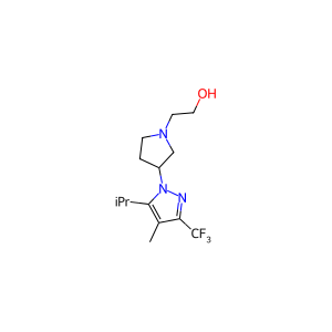 Cc1c(C(F)(F)F)nn(C2CCN(CCO)C2)c1C(C)C